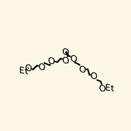 CCOCCOCCOCCOC(=O)OCCOCCOCCOCC